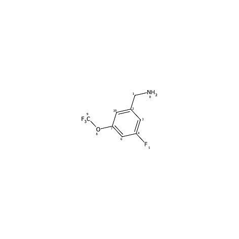 NCc1cc(F)cc(OC(F)(F)F)c1